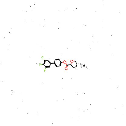 CC[C@@H]1CC[C@@H](C(=O)Oc2ccc(-c3cc(F)c(F)c(F)c3)cc2)OC1